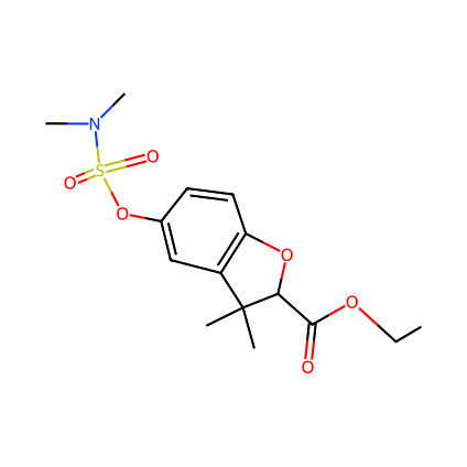 CCOC(=O)C1Oc2ccc(OS(=O)(=O)N(C)C)cc2C1(C)C